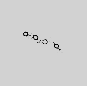 O=C(O)c1ccc(COC(=O)[C@H]2CC[C@H](NS(=O)(=O)c3ccc4nc(-c5ccccc5)[nH]c4c3)CC2)cc1